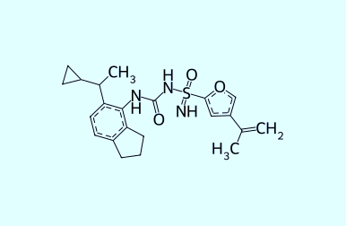 C=C(C)c1coc(S(=N)(=O)NC(=O)Nc2c(C(C)C3CC3)ccc3c2CCC3)c1